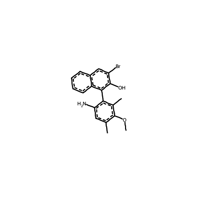 COc1c(C)cc(N)c(-c2c(O)c(Br)cc3ccccc23)c1C